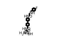 NC[C@H](NC(=O)c1ccc(-c2ccc(NC(=O)CNCc3ccc(F)cc3)cc2)cc1)C(=O)NO